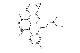 CCN(CC)CC=Cc1cc(F)ccc1N(c1ccc2c(c1C(=O)O)OCC1CC21)[SH](=O)=O